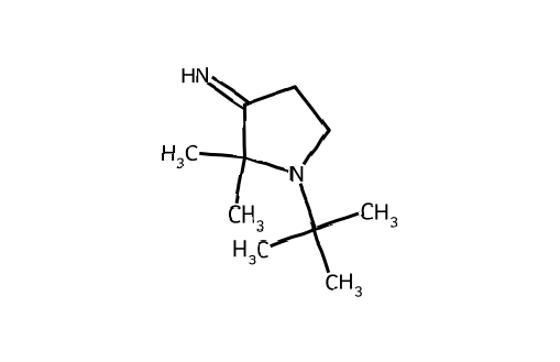 CC(C)(C)N1CCC(=N)C1(C)C